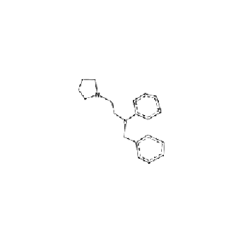 c1ccc(CN(CCN2CCCC2)c2ccccc2)cc1